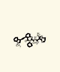 C[C@H](NC(=O)c1c(N)nn2cccnc12)c1nc2cccc(C#Cc3cn(C)c4ccccc34)c2c(=O)n1-c1ccccc1